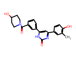 Cc1cc(-c2cc(-c3cccc(C(=O)N4CCC(O)CC4)c3)[nH]c(=O)n2)ccc1O